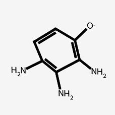 Nc1ccc([O])c(N)c1N